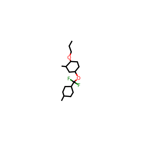 CCCOC1CCC(OC(F)(F)C2CCC(C)CC2)CC1C